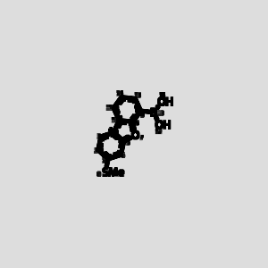 CSc1ccc2c(c1)oc1c(B(O)O)cccc12